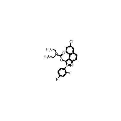 CCN(CC)C(=O)Oc1c2c(ccc3cc(Cl)ccc32)nn1-c1ccc(F)cc1F